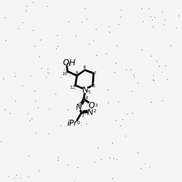 CC(C)c1noc(N2CCCC(CO)C2)n1